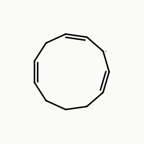 [CH]1C=CCC=CCCCC=C1